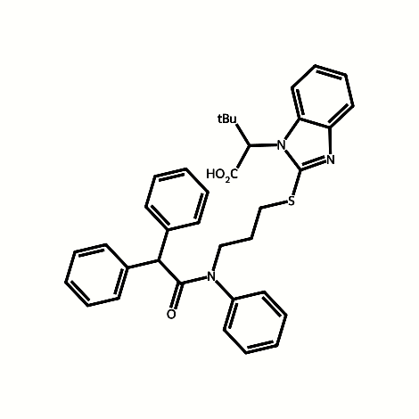 CC(C)(C)C(C(=O)O)n1c(SCCCN(C(=O)C(c2ccccc2)c2ccccc2)c2ccccc2)nc2ccccc21